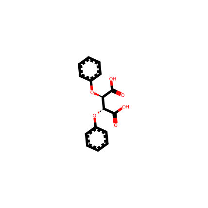 O=C(O)[C@H](Oc1ccccc1)[C@@H](Oc1ccccc1)C(=O)O